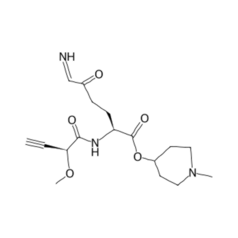 C#C[C@H](OC)C(=O)N[C@@H](CCC(=O)C=N)C(=O)OC1CCN(C)CC1